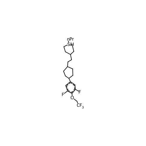 CCC[SiH]1CCC(CCC2CCC(c3cc(F)c(OCC(F)(F)F)c(F)c3)CC2)CC1